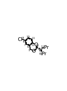 CC(C)N(C(C)C)P1OCc2cc(Cl)ccc2O1